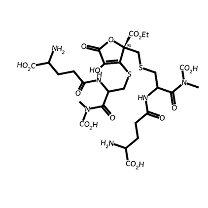 CCOC(=O)[C@]1(CSCC(NC(=O)CCC(N)C(=O)O)C(=O)N(C)C(=O)O)OC(=O)C(O)=C1SCC(NC(=O)CCC(N)C(=O)O)C(=O)N(C)C(=O)O